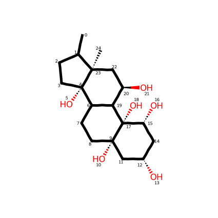 CC1CC[C@]2(O)C3CC[C@]4(O)C[C@@H](O)C[C@@H](O)[C@]4(O)C3[C@H](O)C[C@]12C